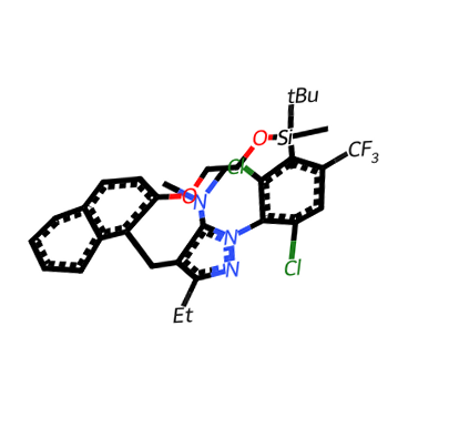 CCc1nn(-c2c(Cl)cc(C(F)(F)F)cc2Cl)c(N(C)C)c1Cc1c(OCCO[Si](C)(C)C(C)(C)C)ccc2ccccc12